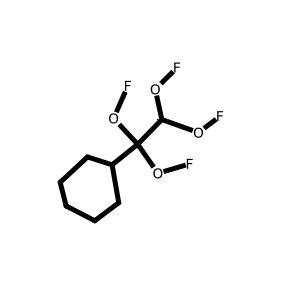 FO[C](OF)C(OF)(OF)C1CCCCC1